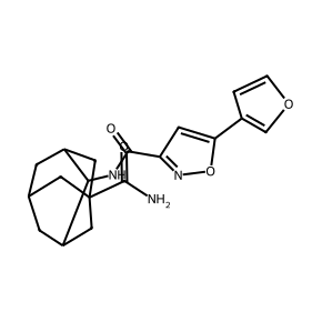 NC(=O)C12CC3CC(C1)C(NC(=O)c1cc(-c4ccoc4)on1)C(C3)C2